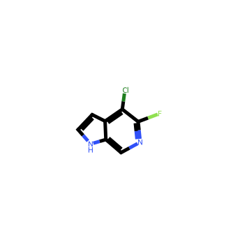 Fc1ncc2[nH]ccc2c1Cl